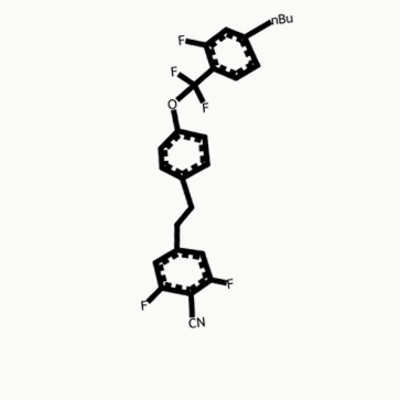 CCCCc1ccc(C(F)(F)Oc2ccc(CCc3cc(F)c(C#N)c(F)c3)cc2)c(F)c1